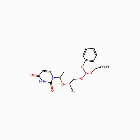 CCOC(=O)COP(OCC(CC)OC(C)n1ccc(=O)[nH]c1=O)Oc1ccccc1